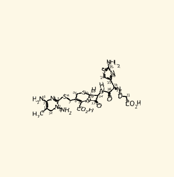 CC1=C(N)N=C(SCC2=C(C(=O)O)N3C(=O)C(NC(=O)/C(=N\OCC(=O)O)c4csc(N)n4)[C@@H]3SC2)N(N)C1